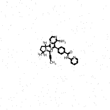 [2H]C1([2H])CCC([2H])(c2nc(-c3ccc(C(=O)Nc4ccccn4)cc3)c3c(N)nccn23)N1C(=O)C#CC